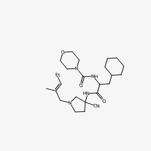 CCC=C(C)CN1CCC(C#N)(NC(=O)C(CC2CCCCC2)NC(=O)N2CCOCC2)C1